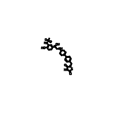 CS(=O)(=O)Nc1cc([C@@H](O)CNC2CCN(c3ccc(Cn4sc(=O)[nH]c4=O)cc3)CC2)ccc1O